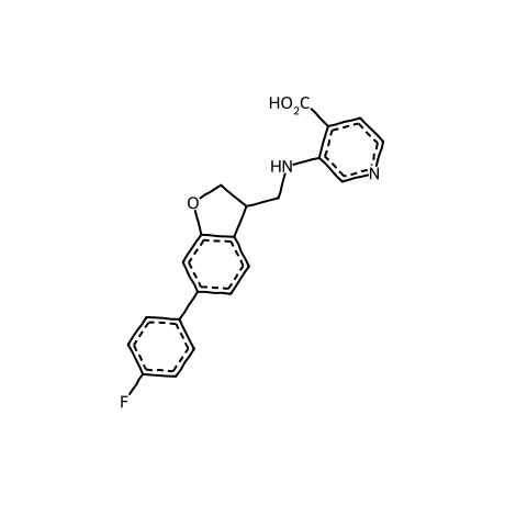 O=C(O)c1ccncc1NCC1COc2cc(-c3ccc(F)cc3)ccc21